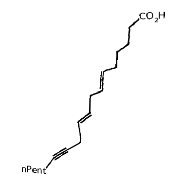 CCCCCC#CC/C=C/C/C=C/CCCCC(=O)O